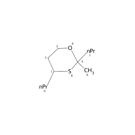 CCCC1CCOC(C)(CCC)S1